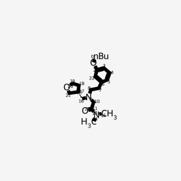 CCCCOc1cccc(CCN(CC(=O)N(C)C)C[C@H]2CCOC2)c1